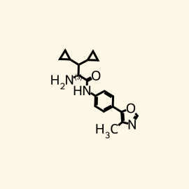 Cc1ncoc1-c1ccc(NC(=O)[C@@H](N)C(C2CC2)C2CC2)cc1